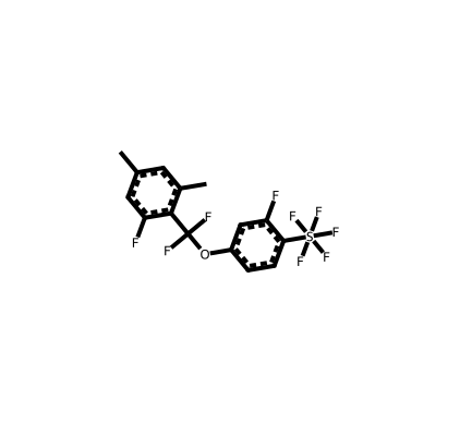 Cc1cc(C)c(C(F)(F)Oc2ccc(S(F)(F)(F)(F)F)c(F)c2)c(F)c1